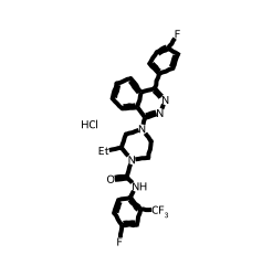 CCC1CN(c2nnc(-c3ccc(F)cc3)c3ccccc23)CCN1C(=O)Nc1ccc(F)cc1C(F)(F)F.Cl